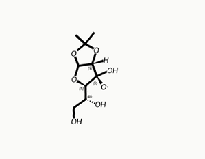 CC1(C)OC2O[C@H]([C@H](O)CO)[C@@]([O])(O)[C@H]2O1